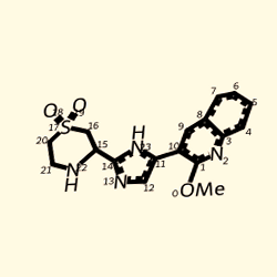 COc1nc2ccccc2cc1-c1cnc(C2CS(=O)(=O)CCN2)[nH]1